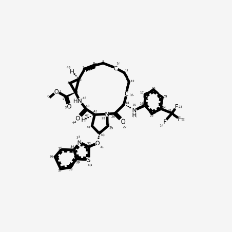 COC(=O)[C@@]12C[C@H]1/C=C\CCCCC[C@H](Nc1cccc(C(F)(F)F)c1)C(=O)N1C[C@H](Oc3nc4ccccc4s3)C[C@H]1C(=O)N2